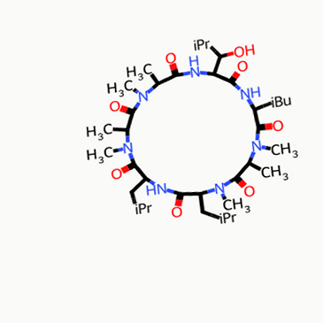 CCC(C)C1NC(=O)C(C(O)C(C)C)NC(=O)C(C)N(C)C(=O)C(C)N(C)C(=O)C(CC(C)C)NC(=O)C(CC(C)C)N(C)C(=O)C(C)N(C)C1=O